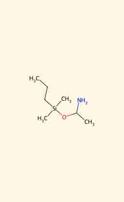 CCC[Si](C)(C)OC(C)N